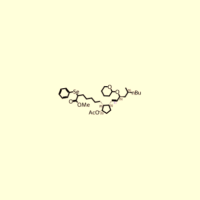 CCCC[C@H](C)C[C@@H](/C=C/[C@@H]1CC[C@H](OC(C)=O)[C@@H]1CCCCCC([Se]c1ccccc1)C(=O)OC)OC1CCCCO1